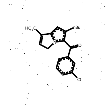 CCCCc1cc2n(c1C(=O)c1cccc(Cl)c1)CC=C2C(=O)O